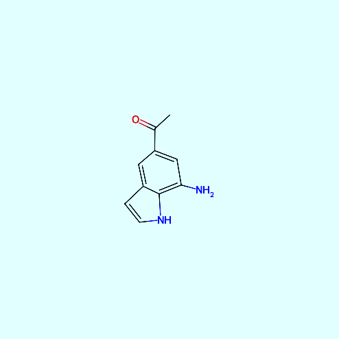 CC(=O)c1cc(N)c2[nH]ccc2c1